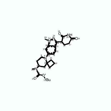 CN(C(=O)OC(C)(C)C)C1CCN(c2ccc3c(C4CCC(=O)NC4=O)nn(C)c3c2)C2(CCC2)C1